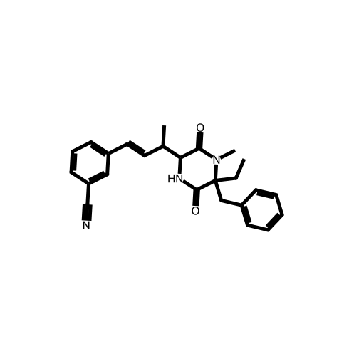 CCC1(Cc2ccccc2)C(=O)NC(C(C)C=Cc2cccc(C#N)c2)C(=O)N1C